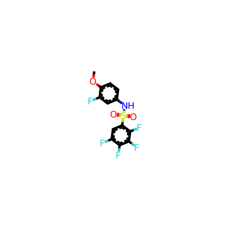 COc1ccc(NS(=O)(=O)c2cc(F)c(F)c(F)c2F)cc1F